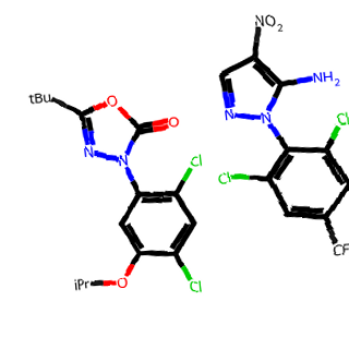 CC(C)Oc1cc(-n2nc(C(C)(C)C)oc2=O)c(Cl)cc1Cl.Nc1c([N+](=O)[O-])cnn1-c1c(Cl)cc(C(F)(F)F)cc1Cl